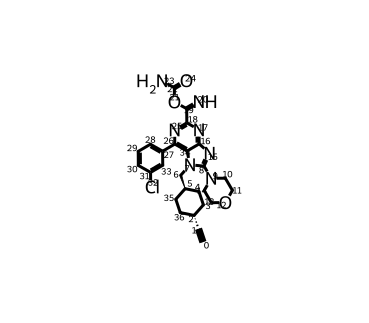 C#C[C@H]1CC[C@H](Cn2c(N3CCOCC3)nc3nc(C(=N)OC(N)=O)nc(-c4cccc(Cl)c4)c32)CC1